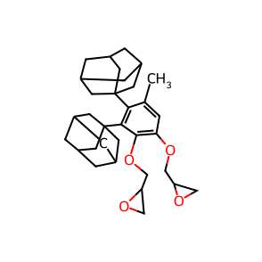 Cc1cc(OCC2CO2)c(OCC2CO2)c(C23CC4CC(CC(C4)C2)C3)c1C12CC3CC(CC(C3)C1)C2